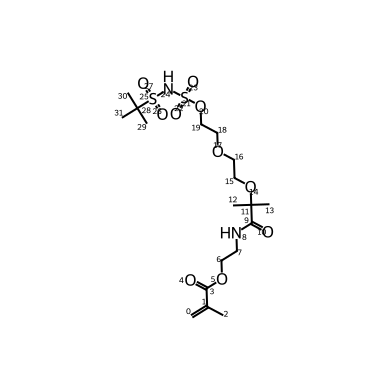 C=C(C)C(=O)OCCNC(=O)C(C)(C)OCCOCCOS(=O)(=O)NS(=O)(=O)C(C)(C)C